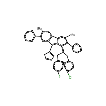 CC(C)(C)c1cc2c(cc1-c1ccccc1)C(C1=CC=CC1)=c1c-2cc(C(C)(C)C)c(-c2ccccc2)c1=C(Cc1ccc(Cl)cc1)Cc1ccc(Cl)cc1